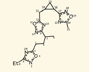 CCc1noc(CCC(C)c2noc(CC3CC3c3noc(C)n3)n2)n1